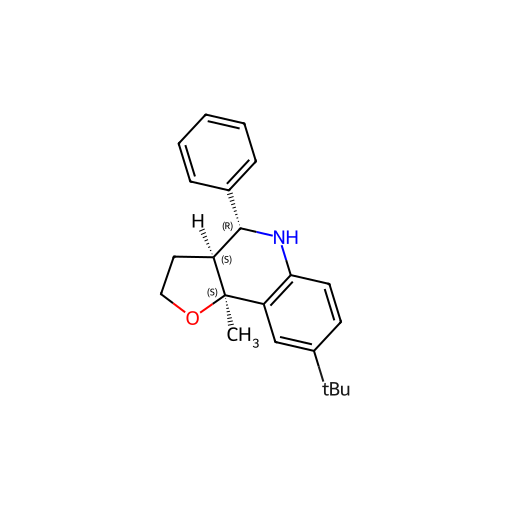 CC(C)(C)c1ccc2c(c1)[C@@]1(C)OCC[C@H]1[C@H](c1ccccc1)N2